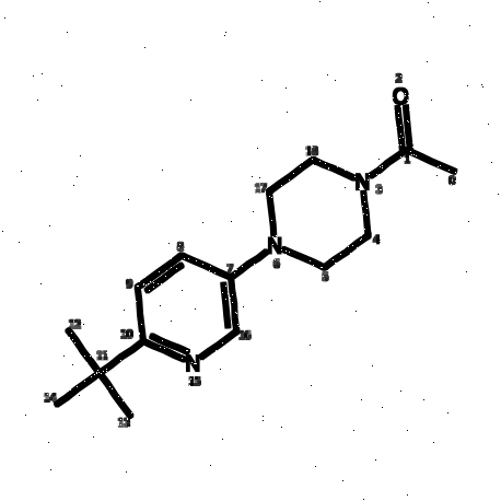 CC(=O)N1CCN(c2ccc(C(C)(C)C)nc2)CC1